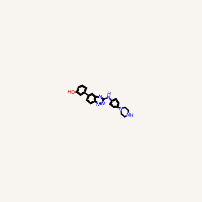 Oc1cccc(-c2ccc3nnc(Nc4ccc(N5CCNCC5)cc4)nc3c2)c1